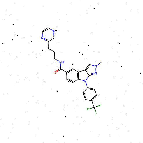 Cn1cc2c3cc(C(=O)NCCCc4cnccn4)ccc3n(-c3ccc(C(F)(F)F)cc3)c2n1